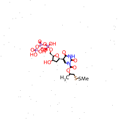 CSSCC(C)OC(=O)n1cc([C@H]2CC(O)[C@@H](COP(=O)(O)OP(=O)(O)OP(=O)(O)O)O2)c(=O)[nH]c1=O